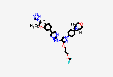 C[C@@H](Cn1cnnn1)Oc1cc(-c2cnc(Nc3cn(C4CCC(N5[C@@H]6CC[C@H]5COC6)CC4)nc3OCCCOC(F)F)nc2)ccc1C#N